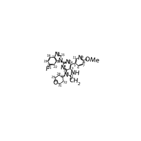 C=C1Nc2c(-c3ccc(OC)nc3)nc(-n3cnc4ccc(F)cc43)nc2N1C1CCOCC1